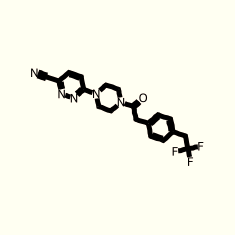 N#Cc1ccc(N2CCN(C(=O)Cc3ccc(CC(F)(F)F)cc3)CC2)nn1